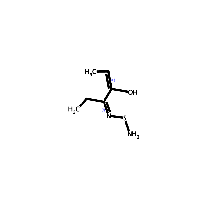 C/C=C(O)\C(CC)=N/SN